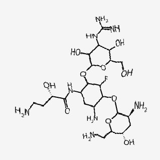 N=C(N)NC1C(O)C(CO)OC(OC2C(NC(=O)[C@@H](O)CCN)CC(N)C(OC3OC(CN)[C@@H](O)C[C@@H]3N)C2F)C1O